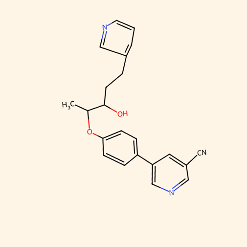 CC(Oc1ccc(-c2cncc(C#N)c2)cc1)C(O)CCc1cccnc1